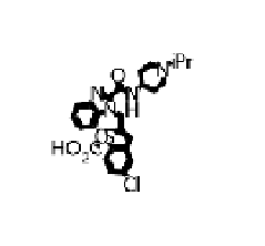 CC(C)N1CCC(NC(=O)c2nc3cccc(OC(=O)O)c3n2Cc2cc3cc(Cl)ccc3s2)CC1